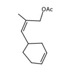 CC(=O)OCC(C)=CC1CC=CCC1